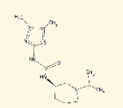 Cc1nc(NC(=O)N[C@@H]2CCCN(C(C)C)C2)sc1C